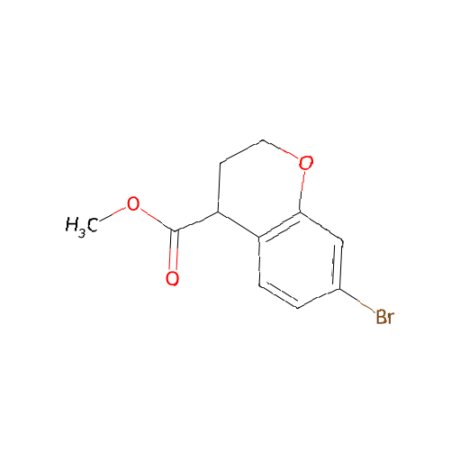 COC(=O)C1CCOc2cc(Br)ccc21